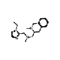 CCn1ccnc1CN(C)CC1Cc2ccccc2CN1C